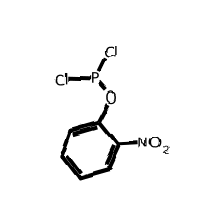 O=[N+]([O-])c1ccccc1OP(Cl)Cl